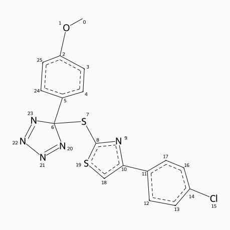 COc1ccc(C2(Sc3nc(-c4ccc(Cl)cc4)cs3)N=NN=N2)cc1